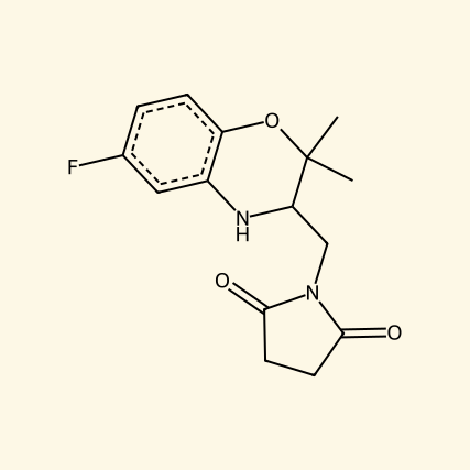 CC1(C)Oc2ccc(F)cc2NC1CN1C(=O)CCC1=O